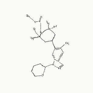 [2H]C1([2H])CC(c2cc3c(cnn3C3CCCCO3)cc2C)CC([2H])([2H])N1C(=O)OC(C)(C)C